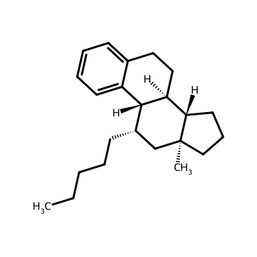 CCCCC[C@H]1C[C@]2(C)CCC[C@H]2[C@@H]2CCc3ccccc3[C@@H]12